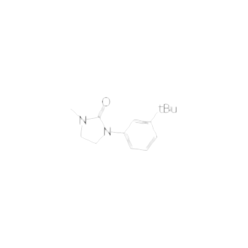 CN1CCN(c2cccc(C(C)(C)C)c2)C1=O